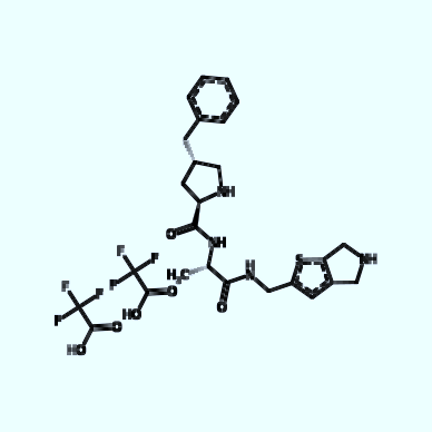 C[C@H](NC(=O)[C@H]1C[C@H](Cc2ccccc2)CN1)C(=O)NCc1cc2c(s1)CNC2.O=C(O)C(F)(F)F.O=C(O)C(F)(F)F